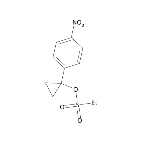 CCS(=O)(=O)OC1(c2ccc([N+](=O)[O-])cc2)CC1